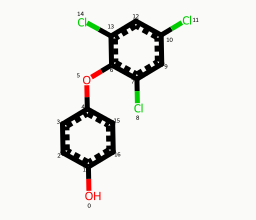 Oc1ccc(Oc2c(Cl)cc(Cl)cc2Cl)cc1